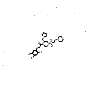 O=C(COc1cc(Cl)c(Cl)cc1Cl)N1CCN(S(=O)(=O)CCN2CCOCC2)C[C@@H]1CN1CCCC1